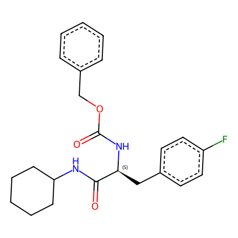 O=C(N[C@@H](Cc1ccc(F)cc1)C(=O)NC1CCCCC1)OCc1ccccc1